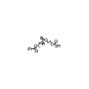 CC(C)C(=O)OCCO[PH](=O)OCCOC(=O)C(C)C